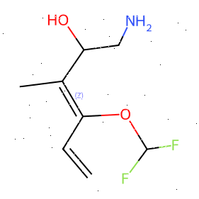 C=C/C(OC(F)F)=C(\C)C(O)CN